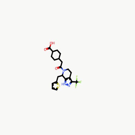 O=C(O)C1CCC(CC(=O)N2CCc3c(C(F)(F)F)n[nH]c3C2Cc2cccs2)CC1